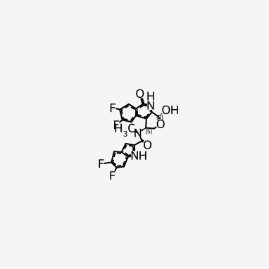 CN(C(=O)c1cc2cc(F)c(F)cc2[nH]1)[C@@H]1CO[C@@H](O)c2[nH]c(=O)c3cc(F)c(F)cc3c21